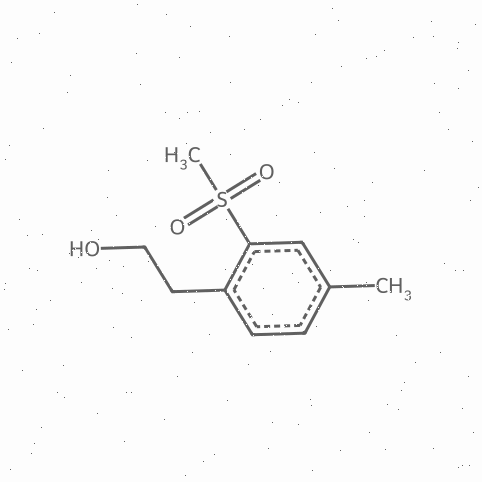 Cc1ccc(CCO)c(S(C)(=O)=O)c1